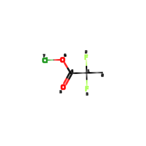 CC(F)(F)C(=O)OCl